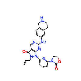 C=CCn1c(=O)c2cnc(Nc3ccc4c(c3)CCNC4)nc2n1-c1cccc(N2CCOC2=O)n1